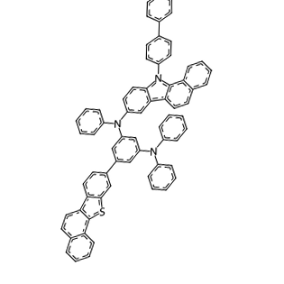 c1ccc(-c2ccc(-n3c4ccc(N(c5ccccc5)c5cc(-c6ccc7c(c6)sc6c8ccccc8ccc76)cc(N(c6ccccc6)c6ccccc6)c5)cc4c4ccc5ccccc5c43)cc2)cc1